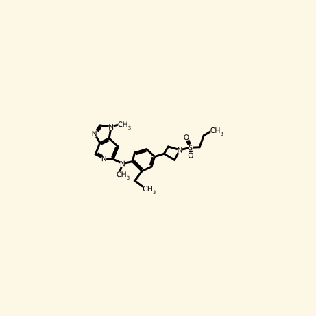 CCCS(=O)(=O)N1CC(c2ccc(N(C)c3cc4c(cn3)ncn4C)c(CC)c2)C1